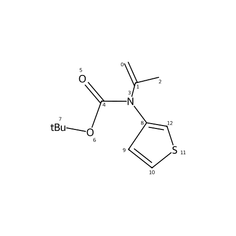 C=C(C)N(C(=O)OC(C)(C)C)c1ccsc1